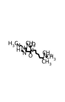 CNCn1cnc2c(=O)n(CCCCC(C)N(C)C)c(=O)n(C)c21